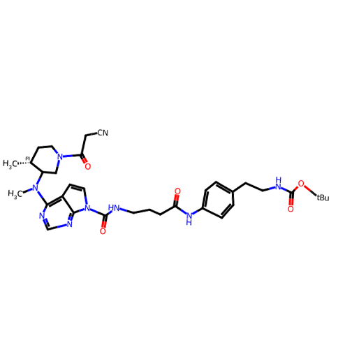 C[C@@H]1CCN(C(=O)CC#N)CC1N(C)c1ncnc2c1ccn2C(=O)NCCCC(=O)Nc1ccc(CCNC(=O)OC(C)(C)C)cc1